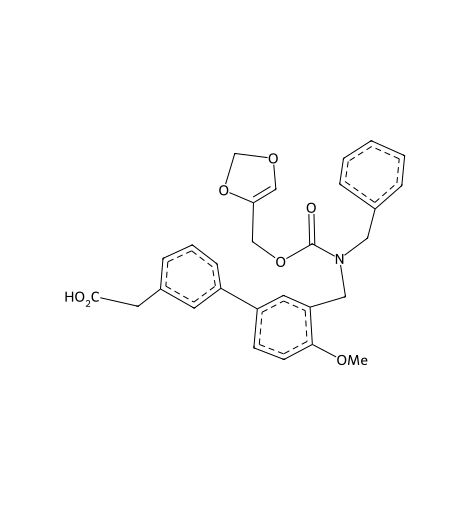 COc1ccc(-c2cccc(CC(=O)O)c2)cc1CN(Cc1ccccc1)C(=O)OCC1=COCO1